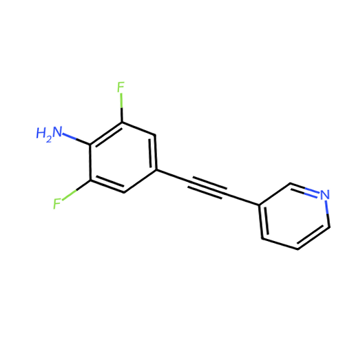 Nc1c(F)cc(C#Cc2cccnc2)cc1F